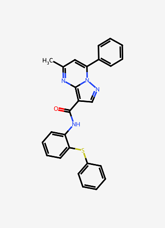 Cc1cc(-c2ccccc2)n2ncc(C(=O)Nc3ccccc3Sc3ccccc3)c2n1